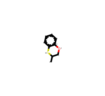 CC1COc2ccccc2S1